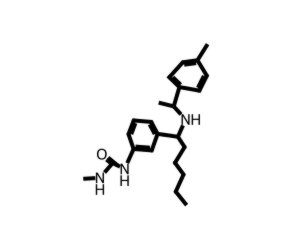 CCCCCC(NC(C)c1ccc(C)cc1)c1cccc(NC(=O)NC)c1